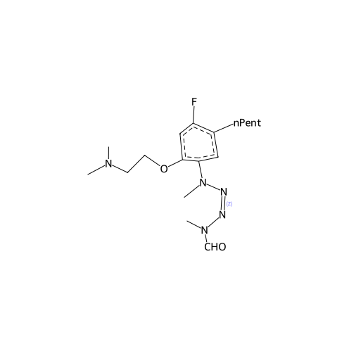 CCCCCc1cc(N(C)/N=N\N(C)C=O)c(OCCN(C)C)cc1F